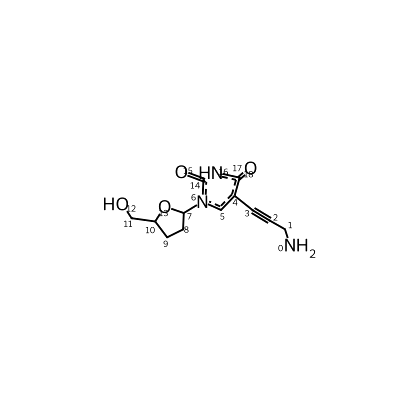 NCC#Cc1cn(C2CCC(CO)O2)c(=O)[nH]c1=O